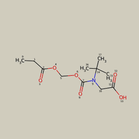 CCC(=O)OCOC(=O)N(CC(=O)O)C(C)(C)C